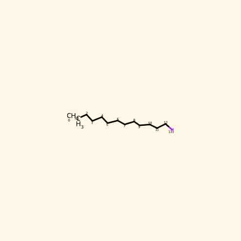 C.CCCCCCCCCCCCI